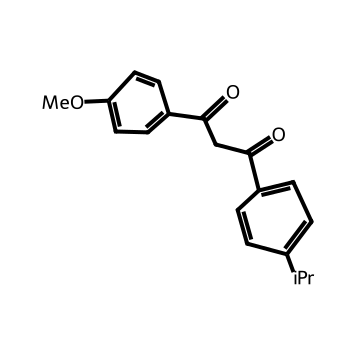 COc1ccc(C(=O)CC(=O)c2ccc(C(C)C)cc2)cc1